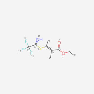 CCOC(=O)/C(C)=C(\C)SC(=N)C(F)(F)F